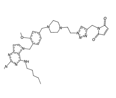 CCCCCNc1nc(N)nc2ccn(Cc3ccc(CN4CCN(CCn5cc(CN6C(=O)C=CC6=O)nn5)CC4)cc3OC)c12